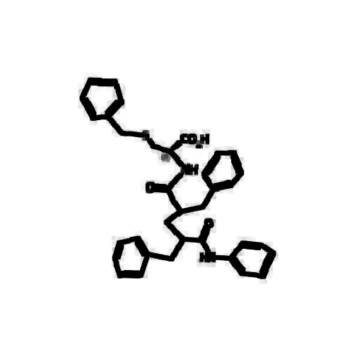 O=C(Nc1ccccc1)C(Cc1ccccc1)CC(Cc1ccccc1)C(=O)N[C@@H](CSCc1ccccc1)C(=O)O